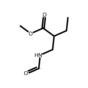 CCC(CN[C]=O)C(=O)OC